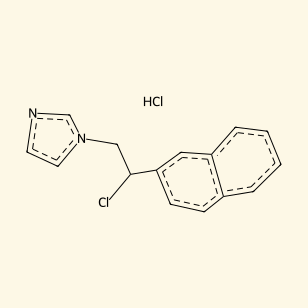 Cl.ClC(Cn1ccnc1)c1ccc2ccccc2c1